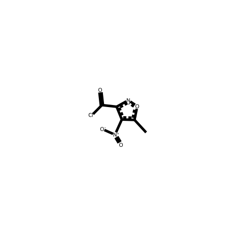 Cc1onc(C(=O)Cl)c1[N+](=O)[O-]